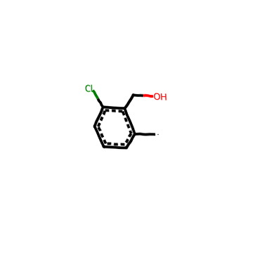 [CH2]c1cccc(Cl)c1CO